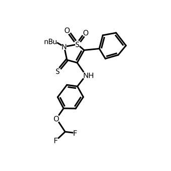 CCCCN1C(=S)C(Nc2ccc(OC(F)F)cc2)=C(c2ccccc2)S1(=O)=O